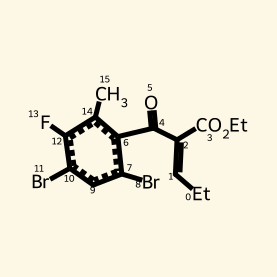 CCC=C(C(=O)OCC)C(=O)c1c(Br)cc(Br)c(F)c1C